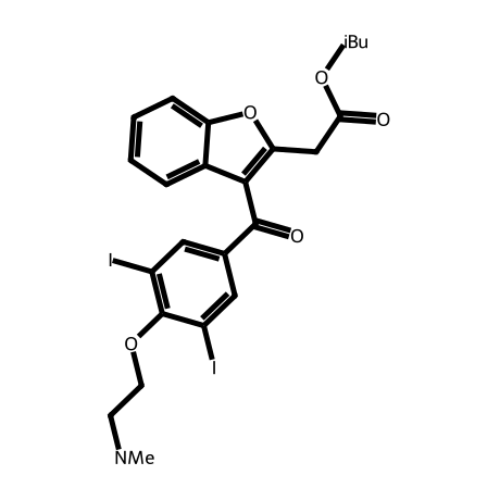 CCC(C)OC(=O)Cc1oc2ccccc2c1C(=O)c1cc(I)c(OCCNC)c(I)c1